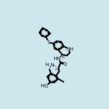 Cc1cc(O)cc(C)c1C[C@H](N)C(=O)N[C@@H]1CCNc2ccc(Sc3ccccc3)cc21